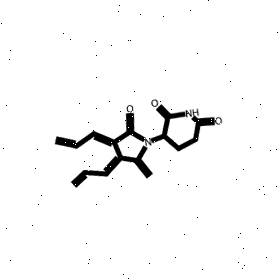 C=C/C=C1/C(=C)N(C2CCC(=O)NC2=O)C(=O)/C1=C/C=C